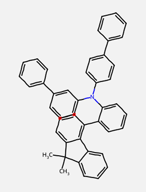 CC1(C)c2ccccc2-c2c(-c3ccccc3N(c3ccc(-c4ccccc4)cc3)c3cccc(-c4ccccc4)c3)cccc21